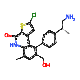 Cc1cc(CO)c(-c2ccc([C@@H](C)CN)cc2)c2c1[nH]c(=O)c1sc(Cl)cc12